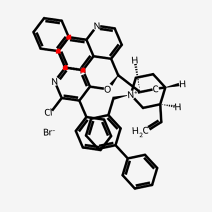 C=C[C@H]1C[N@+]2(Cc3cccc(-c4ccccc4)c3)CC[C@H]1C[C@@H]2[C@@H](Oc1nc(-c2ccccc2)nc(Cl)c1-c1ccccc1)c1ccnc2ccccc12.[Br-]